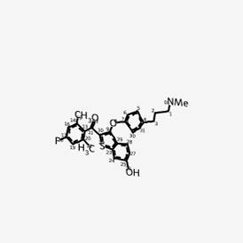 CNCCCc1ccc(Oc2c(C(=O)c3c(C)cc(F)cc3C)sc3cc(O)ccc23)cc1